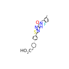 Cc1ccc(F)c(CNC(=O)c2cn3cc(-c4ccc([C@H]5CC[C@H](CC(=O)O)CC5)cc4)sc3n2)c1